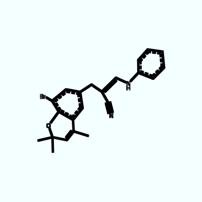 CC1=CC(C)(C)Oc2c(Br)cc(CC(C#N)=CNc3ccccc3)cc21